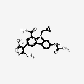 CC(=O)Nc1ccc2c3cc(-c4c(C)noc4C)cc(C(N)=O)c3n(CC3CC3)c2c1